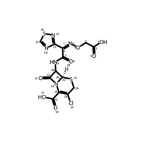 O=C(O)CO/N=C(\C(=O)NC1C(=O)N2C(C(=O)O)=C(Cl)CS[C@H]12)c1ncsn1